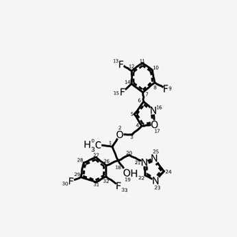 CC(OCc1cc(-c2c(F)ccc(F)c2F)no1)C(O)(Cn1cncn1)c1ccc(F)cc1F